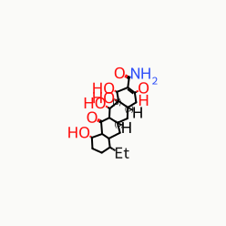 CCC1CCC(O)C2C(=O)C3C(O)[C@]4(O)C(O)C(C(N)=O)=C(O)C[C@@H]4C[C@@H]3CC12